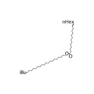 CCCCCCC=CCCCCCCCCCCCC(=O)OCCCCCCCCCCCCCCCCCCCC(C)CC